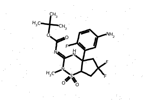 CN1/C(=N/C(=O)OC(C)(C)C)NC2(c3cc(N)ccc3F)CC(F)(F)CC2S1(=O)=O